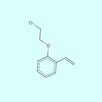 C=Cc1ccccc1OCCCl